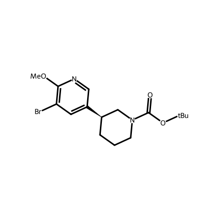 COc1ncc([C@@H]2CCCN(C(=O)OC(C)(C)C)C2)cc1Br